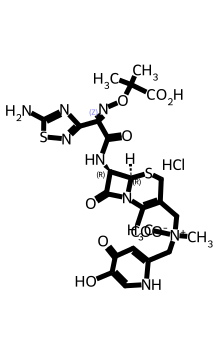 CC(C)(O/N=C(\C(=O)N[C@@H]1C(=O)N2C(C(=O)[O-])=C(C[N+](C)(C)Cc3cc(=O)c(O)c[nH]3)CS[C@H]12)c1nsc(N)n1)C(=O)O.Cl